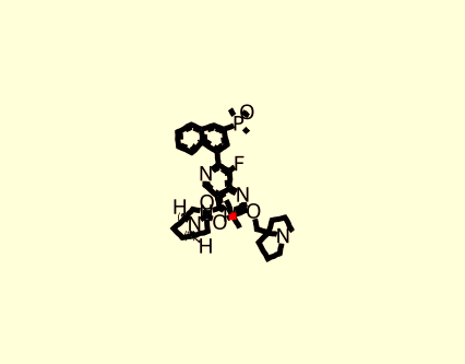 CC(C)(C)OC(=O)N1[C@@H]2CC[C@H]1CN(c1nc(OCC34CCCN3CCC4)nc3c(F)c(-c4cc(P(C)(C)=O)cc5ccccc45)ncc13)C2